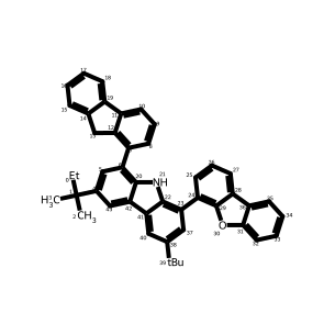 CCC(C)(C)c1cc(-c2cccc3c2Cc2ccccc2-3)c2[nH]c3c(-c4cccc5c4oc4ccccc45)cc(C(C)(C)C)cc3c2c1